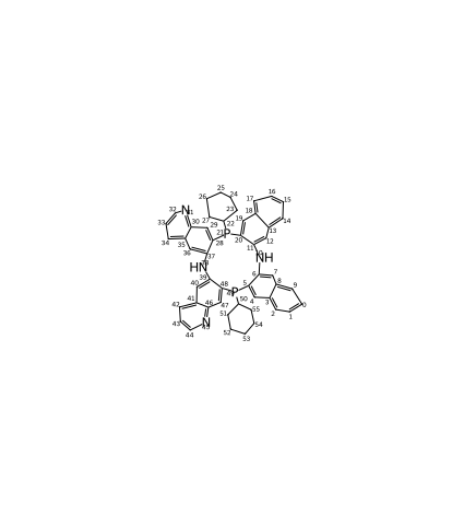 c1ccc2cc3c(cc2c1)Nc1cc2ccccc2cc1P(C1CCCCC1)c1cc2ncccc2cc1Nc1cc2cccnc2cc1P3C1CCCCC1